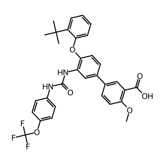 COc1ccc(-c2ccc(Oc3ccccc3C(C)(C)C)c(NC(=O)Nc3ccc(OC(F)(F)F)cc3)c2)cc1C(=O)O